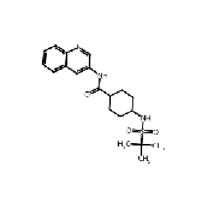 CC(C)(C)S(=O)(=O)NC1CCC(C(=O)Nc2cnc3ccccc3c2)CC1